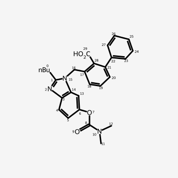 CCCCc1nc2ccc(OC(=O)N(C)C)cc2n1Cc1cccc(-c2ccccc2)c1C(=O)O